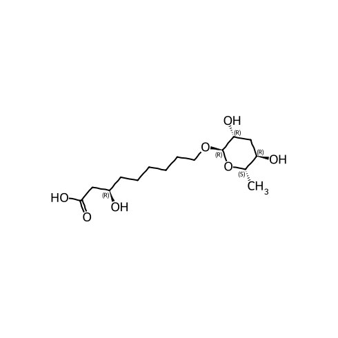 C[C@@H]1O[C@@H](OCCCCCC[C@@H](O)CC(=O)O)[C@H](O)C[C@H]1O